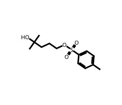 Cc1ccc(S(=O)(=O)OCCCC(C)(C)O)cc1